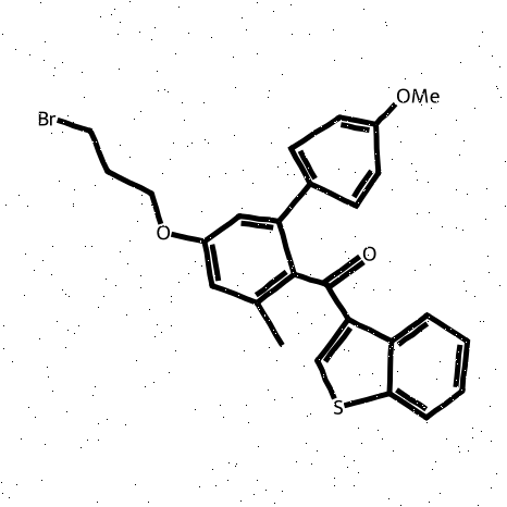 COc1ccc(-c2cc(OCCCBr)cc(C)c2C(=O)c2csc3ccccc23)cc1